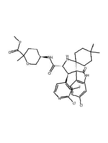 COC(=O)C1(C)CC[C@@H](NC(=O)[C@@H]2NC3(CCC(C)(C)CC3)[C@@]3(C(=O)Nc4cc(Cl)ccc43)[C@H]2c2ccnc(Cl)c2F)CO1